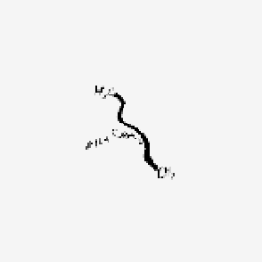 CCCCCC.[CaH2].[HH]